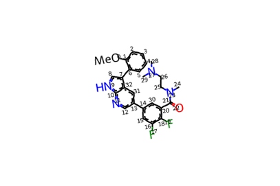 COc1ccccc1-c1c[nH]c2ncc(-c3cc(F)c(F)c(C(=O)N(C)CCN(C)C)c3)cc12